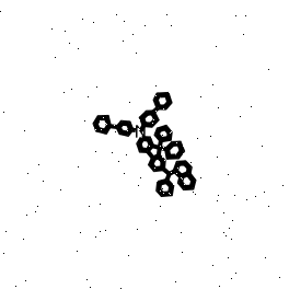 c1ccc(-c2ccc(N(c3ccc(-c4ccccc4)cc3)c3ccc4c(c3)C(c3ccccc3)(c3ccccc3)c3cc(C(c5ccccc5)c5cccc6ccccc56)ccc3-4)cc2)cc1